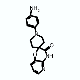 Nc1ccc(N2CCC3(CC2)Oc2cccnc2NC3=O)cc1